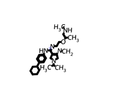 C=NC1=C(/C(=N\CCOC(C)CNC)Nc2ccc(C3CCCCC3)cc2)CN(C(C)C)C1